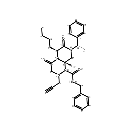 C#CCN1CC(=O)N2[C@@H](CCCC)C(=O)N([C@@H](C)c3ccccc3)C[C@@H]2N1C(=O)NCc1ccccc1